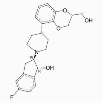 OCC1COc2c(cccc2C2CCN([C@@H]3Cc4cc(F)ccc4[C@H]3O)CC2)O1